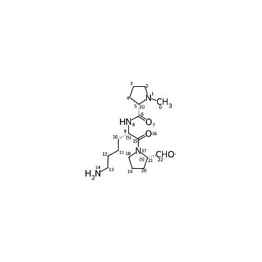 CN1CCC[C@H]1C(=O)N[C@@H](CCCCN)C(=O)N1CCC[C@H]1[C]=O